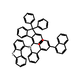 c1ccc(C2(c3ccccc3)c3ccccc3-c3c(N(c4ccccc4-c4cccc(-c5cccc6ccccc56)c4)c4cccc5sc6ccccc6c45)cccc32)cc1